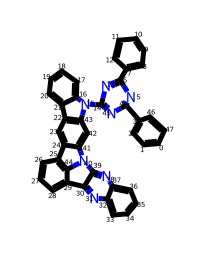 c1ccc(-c2nc(-c3ccccc3)nc(-n3c4ccccc4c4cc5c6cccc7c8nc9ccccc9nc8n(c5cc43)c67)n2)cc1